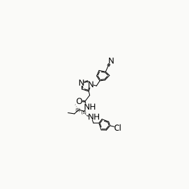 CC[C@H](C)[C@@H](CNCc1ccc(Cl)cc1)NC(=O)Cc1cncn1Cc1ccc(C#N)cc1